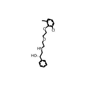 Cc1cccc(Cl)c1OCCOCCNC[C@@H](O)c1ccccc1